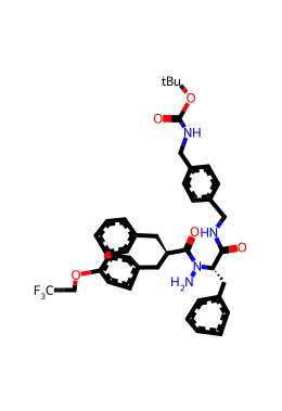 CC(C)(C)OC(=O)NCc1ccc(CNC(=O)[C@H](Cc2ccccc2)N(N)C(=O)[C@H](Cc2ccccc2)Cc2ccc(OCC(F)(F)F)cc2)cc1